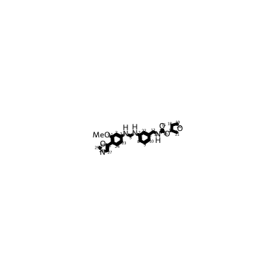 COc1cc(NCNc2cccc(CNC(=O)O[C@H]3CCOC3)c2)ccc1-c1cnco1